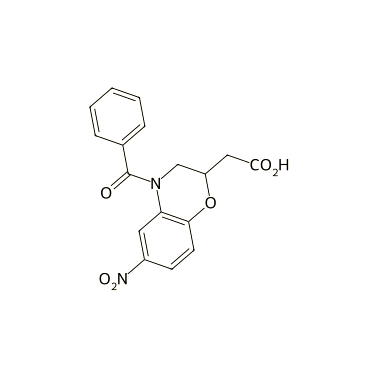 O=C(O)CC1CN(C(=O)c2ccccc2)c2cc([N+](=O)[O-])ccc2O1